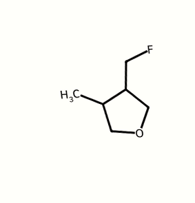 CC1COCC1CF